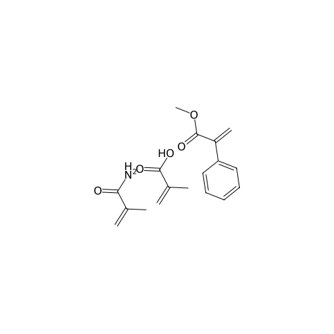 C=C(C(=O)OC)c1ccccc1.C=C(C)C(=O)O.C=C(C)C(N)=O